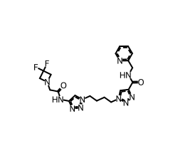 O=C(CN1CC(F)(F)C1)Nc1cn(CCCCn2cc(C(=O)NCc3ccccn3)nn2)nn1